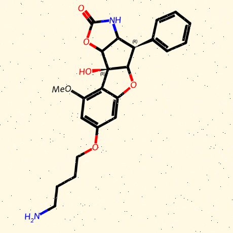 COc1cc(OCCCCN)cc2c1[C@]1(O)C3OC(=O)NC3[C@@H](c3ccccc3)C1O2